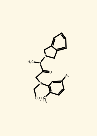 CC(=O)c1ccc(C)c(N(CC(=O)O)CC(=O)N(C)N2Cc3ccccc3C2)c1